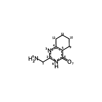 NCc1nc2c(c(=O)[nH]1)CCCC2